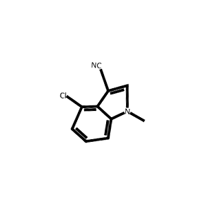 Cn1cc(C#N)c2c(Cl)cccc21